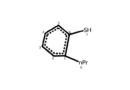 CCCc1ccccc1S